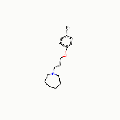 [CH2]Cc1ccc(OCCCN2CCCCCC2)cc1